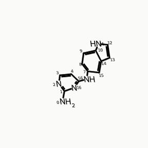 Nc1nccc(Nc2ccc3[nH]ccc3c2)n1